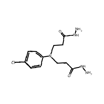 NNC(=O)CCN(CCC(=O)NN)c1ccc(Cl)cc1